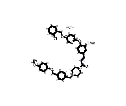 COc1cc(/C=C/C(=O)N2CCN(Cc3ccc(COc4ccc(OC(C)C)cc4)cc3)CC2)ccc1Oc1ccc(OCc2ccccc2Cl)cn1.Cl